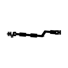 C#CC[CH]C#CC#C[CH2]